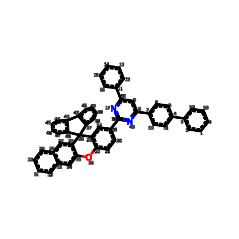 c1ccc(-c2ccc(-c3cc(-c4ccccc4)nc(-c4ccc5c(c4)C4(c6cc7ccccc7cc6O5)c5ccccc5-c5ccccc54)n3)cc2)cc1